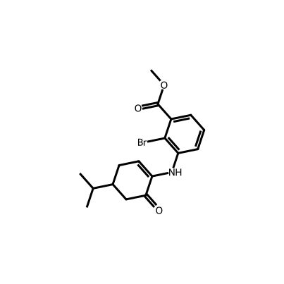 COC(=O)c1cccc(NC2=CCC(C(C)C)CC2=O)c1Br